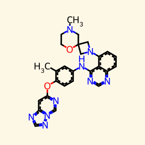 Cc1cc(Nc2ncnc3cccc(N4CC5(CN(C)CCO5)C4)c23)ccc1Oc1cc2ncnn2cn1